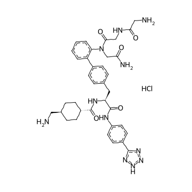 Cl.NCC(=O)NCC(=O)N(CC(N)=O)c1ccccc1-c1ccc(C[C@H](NC(=O)[C@H]2CC[C@H](CN)CC2)C(=O)Nc2ccc(-c3nn[nH]n3)cc2)cc1